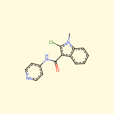 Cn1c(Cl)c(C(=O)Nc2ccncc2)c2ccccc21